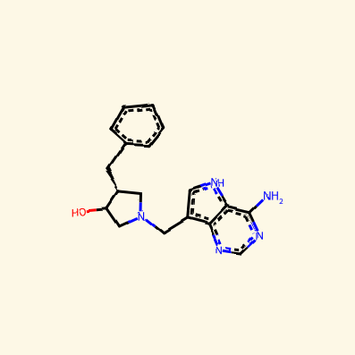 Nc1ncnc2c(CN3CC(O)[C@@H](Cc4ccccc4)C3)c[nH]c12